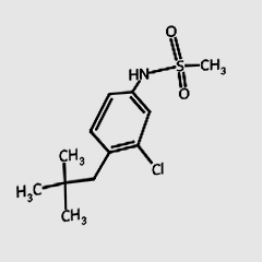 CC(C)(C)Cc1ccc(NS(C)(=O)=O)cc1Cl